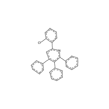 Clc1ccccc1-c1cc(-c2ccccc2)c(-c2ccccc2)c(-c2ccccc2)n1